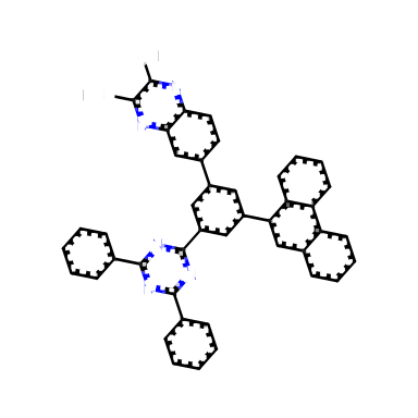 Cc1nc2ccc(-c3cc(-c4nc(-c5ccccc5)nc(-c5ccccc5)n4)cc(-c4cc5ccccc5c5ccccc45)c3)cc2nc1C